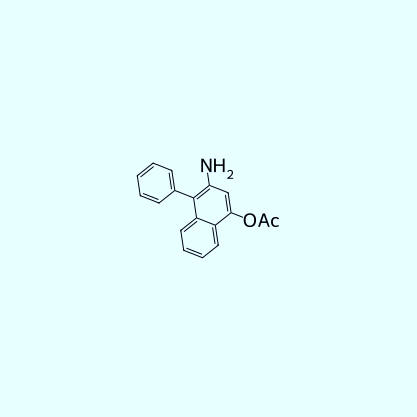 CC(=O)Oc1cc(N)c(-c2ccccc2)c2ccccc12